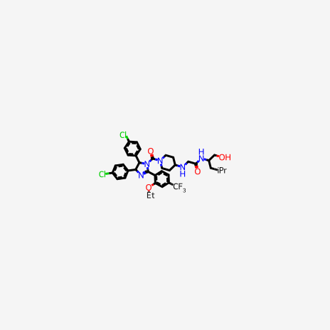 CCOc1cc(C(F)(F)F)ccc1C1=NC(c2ccc(Cl)cc2)C(c2ccc(Cl)cc2)N1C(=O)N1CCC(NCC(=O)NC(CO)CC(C)C)CC1